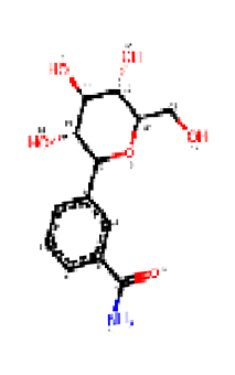 NC(=O)c1cccc(C2O[C@H](CO)[C@@H](O)[C@H](O)[C@H]2O)c1